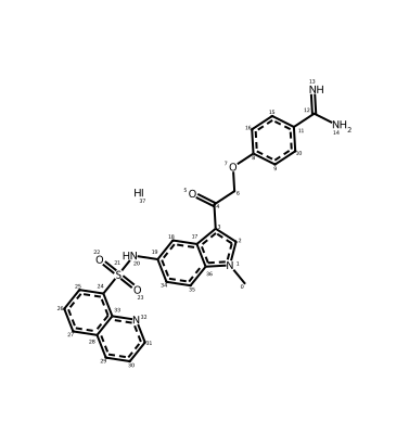 Cn1cc(C(=O)COc2ccc(C(=N)N)cc2)c2cc(NS(=O)(=O)c3cccc4cccnc34)ccc21.I